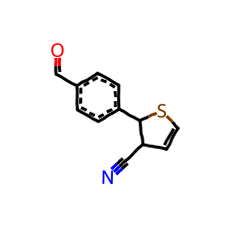 N#CC1C=CSC1c1ccc(C=O)cc1